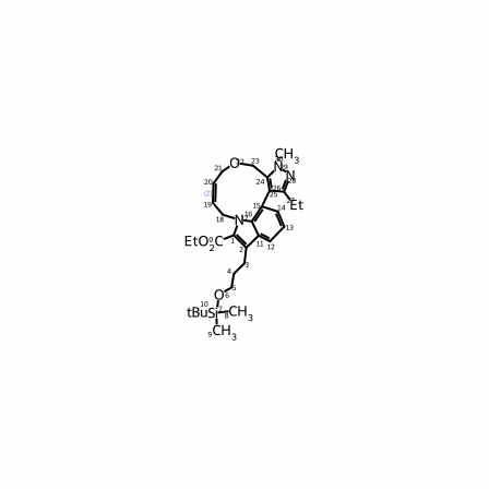 CCOC(=O)c1c(CCCO[Si](C)(C)C(C)(C)C)c2cccc3c2n1C/C=C\COCc1c-3c(CC)nn1C